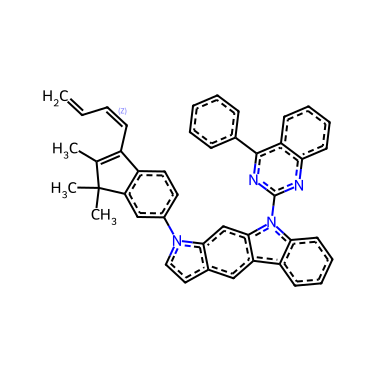 C=C/C=C\C1=C(C)C(C)(C)c2cc(-n3ccc4cc5c6ccccc6n(-c6nc(-c7ccccc7)c7ccccc7n6)c5cc43)ccc21